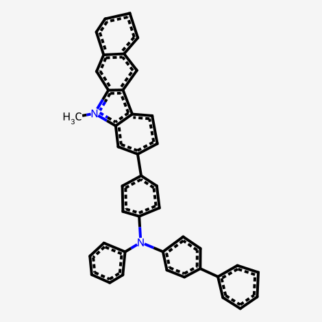 Cn1c2cc(-c3ccc(N(c4ccccc4)c4ccc(-c5ccccc5)cc4)cc3)ccc2c2cc3ccccc3cc21